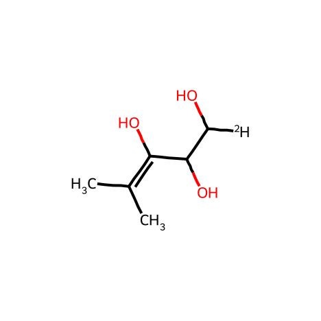 [2H]C(O)C(O)C(O)=C(C)C